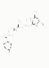 COc1ccc(C(=O)C2CCN(C(=O)CCCc3nc(C(C)C)cc(=O)[nH]3)CC2)cc1